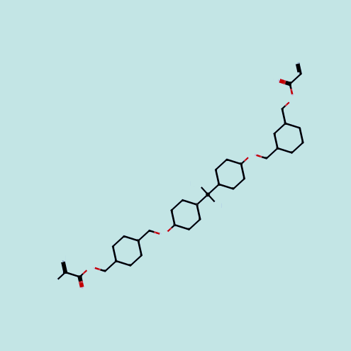 C=CC(=O)OCC1CCCC(COC2CCC(C(C)(C)C3CCC(OCC4CCC(COC(=O)C(=C)C)CC4)CC3)CC2)C1